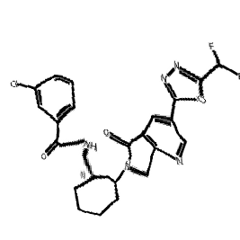 O=C(N[C@@H]1CCCCC1N1Cc2ncc(-c3nnc(C(F)F)o3)cc2C1=O)c1cccc(Cl)c1